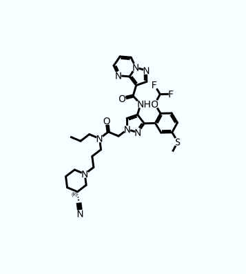 CCCN(CCCN1CCC[C@@H](C#N)C1)C(=O)Cn1cc(NC(=O)c2cnn3cccnc23)c(-c2cc(SC)ccc2OC(F)F)n1